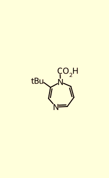 CC(C)(C)C1=CN=CC=CN1C(=O)O